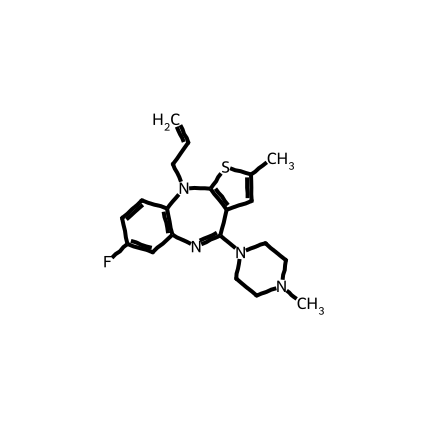 C=CCN1c2ccc(F)cc2N=C(N2CCN(C)CC2)c2cc(C)sc21